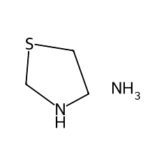 C1CSCN1.N